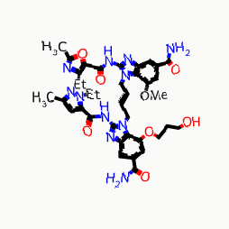 CCc1nc(C)oc1C(=O)Nc1nc2cc(C(N)=O)cc(OC)c2n1CC=CCn1c(NC(=O)c2cc(C)nn2CC)nc2cc(C(N)=O)cc(OCCCO)c21